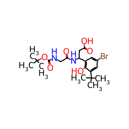 CC(C)(C)OC(=O)NCC(=O)NC(CC(=O)O)c1cc(Br)cc(C(C)(C)C)c1O